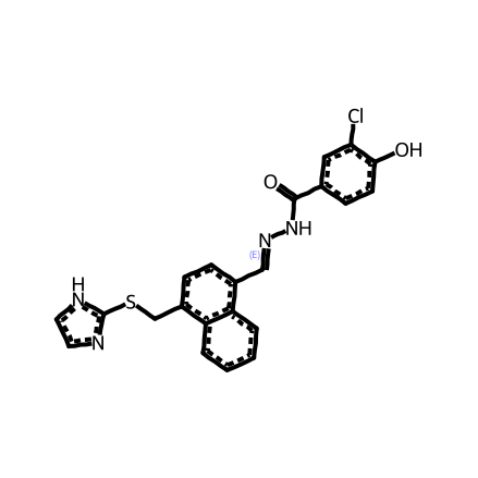 O=C(N/N=C/c1ccc(CSc2ncc[nH]2)c2ccccc12)c1ccc(O)c(Cl)c1